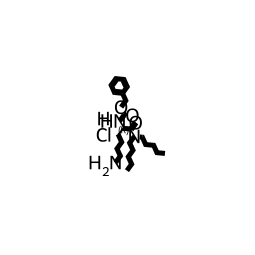 CCCCCN(CCCCC)C(=O)[C@@H](CCCCN)NC(=O)OCc1ccccc1.Cl